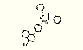 Brc1ccc(-c2ccc(-c3nc(-c4ccccc4)nc(-c4ccccc4)n3)cc2)c2ccccc12